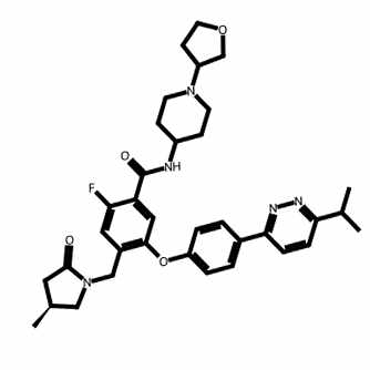 CC(C)c1ccc(-c2ccc(Oc3cc(C(=O)NC4CCN(C5CCOC5)CC4)c(F)cc3CN3C[C@@H](C)CC3=O)cc2)nn1